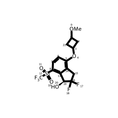 COC1CC(Oc2ccc(S(=O)(=O)C(F)(F)F)c3c2CC(F)(F)[C@H]3O)C1